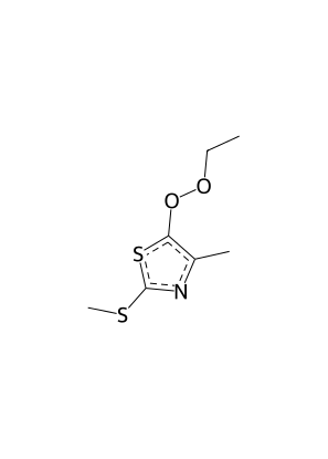 CCOOc1sc(SC)nc1C